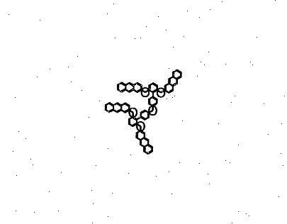 c1cc(Oc2ccc3cc4ccccc4cc3c2)c(-c2ccc(Oc3ccc(-c4c(Oc5ccc6cc7ccccc7cc6c5)cccc4Oc4ccc5cc6ccccc6cc5c4)cc3)cc2)c(Oc2ccc3cc4ccccc4cc3c2)c1